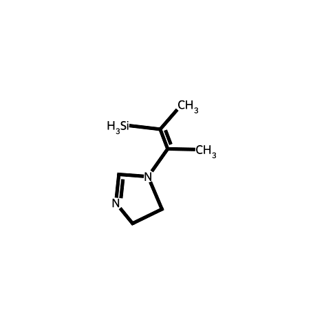 CC([SiH3])=C(C)N1C=NCC1